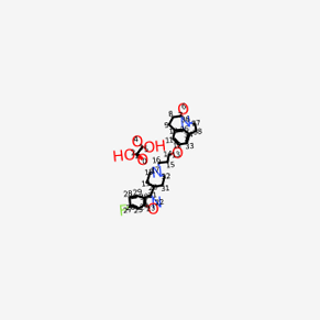 O=C(O)C(=O)O.O=C1CCc2cc(OCCCN3CCC(c4noc5cc(F)ccc45)CC3)cc3c2N1CC3